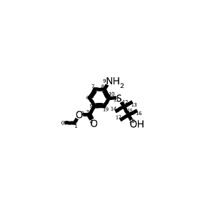 CCOC(=O)c1ccc(N)c(SC(C)(C)C(C)(C)O)c1